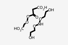 O=C(O)COOC(=O)CC(=O)O.OCCONOCCO